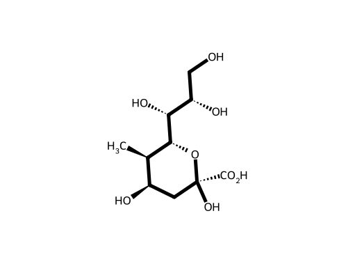 C[C@H]1[C@H]([C@H](O)[C@@H](O)CO)O[C@](O)(C(=O)O)C[C@H]1O